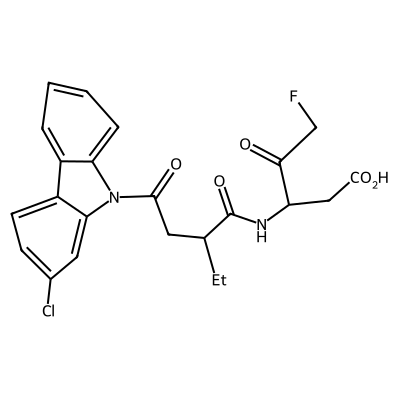 CCC(CC(=O)n1c2ccccc2c2ccc(Cl)cc21)C(=O)NC(CC(=O)O)C(=O)CF